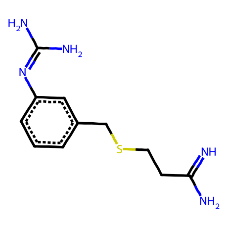 N=C(N)CCSCc1cccc(N=C(N)N)c1